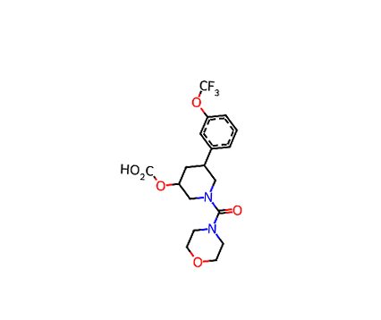 O=C(O)OC1CC(c2cccc(OC(F)(F)F)c2)CN(C(=O)N2CCOCC2)C1